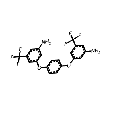 Nc1cc(Oc2ccc(Oc3cc(N)cc(C(F)(F)F)c3)cc2)cc(C(F)(F)F)c1